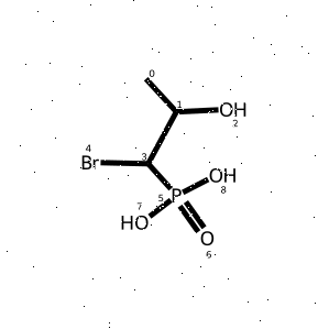 CC(O)C(Br)P(=O)(O)O